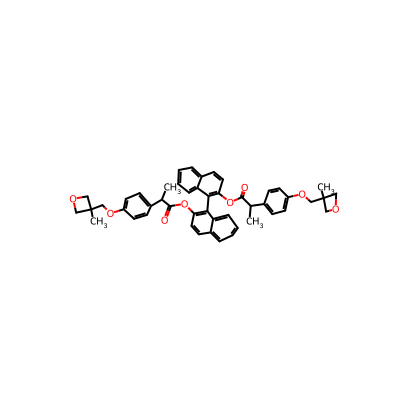 CC(C(=O)Oc1ccc2ccccc2c1-c1c(OC(=O)C(C)c2ccc(OCC3(C)COC3)cc2)ccc2ccccc12)c1ccc(OCC2(C)COC2)cc1